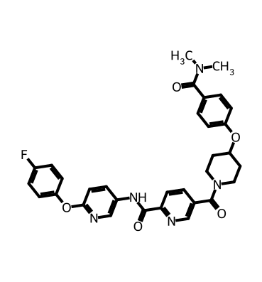 CN(C)C(=O)c1ccc(OC2CCN(C(=O)c3ccc(C(=O)Nc4ccc(Oc5ccc(F)cc5)nc4)nc3)CC2)cc1